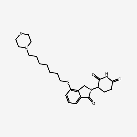 O=C1CCC(N2Cc3c(SCCCCCCCN4CCSCC4)cccc3C2=O)C(=O)N1